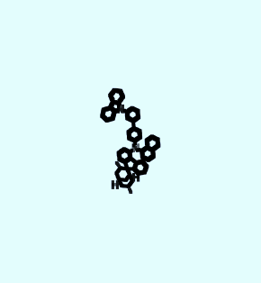 C[C@H]1C[C@@H]2C[C@H](C1)C1(c3ccccc3-c3c(N(c4ccc(-c5cccc(-n6c7ccccc7c7ccccc76)c5)cc4)c4cccc5ccccc45)cccc31)[C@H](C)C2